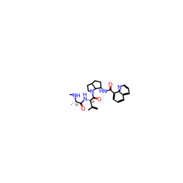 C=C(C)[C@H](NC(=O)[C@H](C)NC)C(=O)N1CCC2CCC(NC(=O)c3cccc4cccnc34)C21